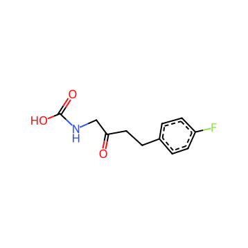 O=C(CCc1ccc(F)cc1)CNC(=O)O